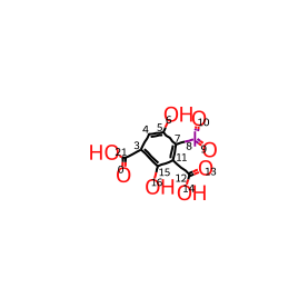 O=C(O)c1cc(O)c(I(=O)=O)c(C(=O)O)c1O